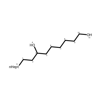 CCCCCCCCCC(O)CCCCCCO